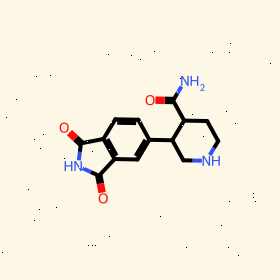 NC(=O)C1CCNCC1c1ccc2c(c1)C(=O)NC2=O